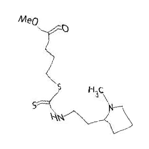 COC(=O)CCCSC(=S)NCCC1CCCN1C